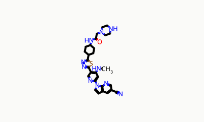 CNc1cc(-n2ccc3cc(C#N)cnc32)ncc1-c1nnc(C2CCC(NC(=O)CN3CCNCC3)CC2)s1